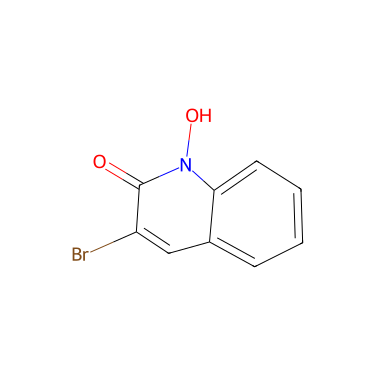 O=c1c(Br)cc2ccccc2n1O